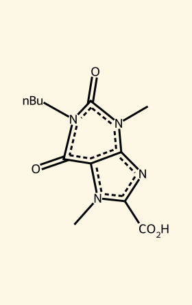 CCCCn1c(=O)c2c(nc(C(=O)O)n2C)n(C)c1=O